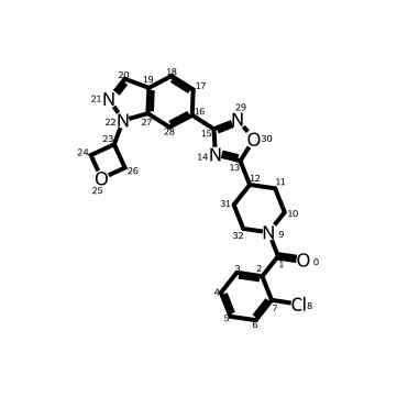 O=C(c1ccccc1Cl)N1CCC(c2nc(-c3ccc4cnn(C5COC5)c4c3)no2)CC1